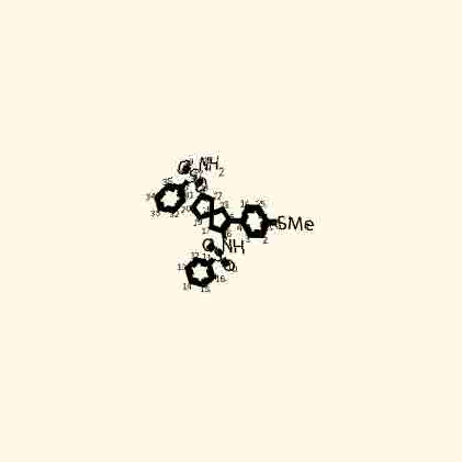 CSc1ccc(C2=C(NS(=O)(=O)c3ccccc3)CC3(CCCC3)C2)cc1.NS(=O)(=O)c1ccccc1